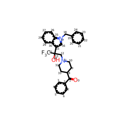 O=C(c1ccccc1)C1CCN(CC(O)(c2cn(Cc3ccccc3)c3ccccc23)C(F)(F)F)CC1